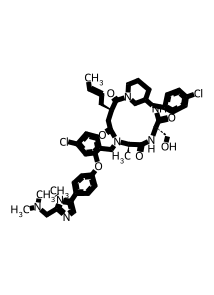 C/C=C/C[C@@H]1CC(=O)N(Cc2ccc(Cl)cc2Oc2ccc(-c3cnc(CN(C)C)n3C)cc2)[C@@H](C)C(=O)N[C@@H](CO)C(=O)N[C@@]2(Cc3ccc(Cl)cc3)CCCN(C2)C1=O